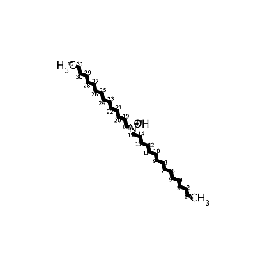 CCCCCCCCCCCCCCCCN(O)CCCCCCCCCCCCCCC